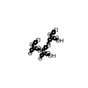 COc1ccc2c(c1)c(CC(=O)O)c(C)n2C(=O)c1ccc(Cl)cc1.COc1ccc2c(c1)c(CC(=O)O)c(C)n2C(=O)c1ccc(Cl)cc1.COc1ccc2c(c1)c(CC(=O)O)c(C)n2C(=O)c1ccc(Cl)cc1